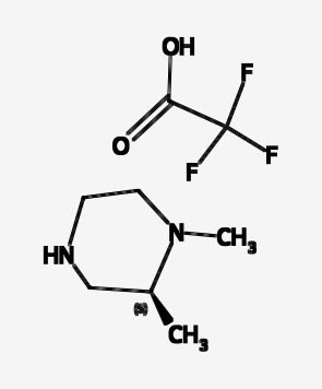 C[C@H]1CNCCN1C.O=C(O)C(F)(F)F